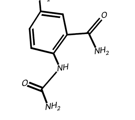 NC(=O)Nc1ccc(N)cc1C(N)=O